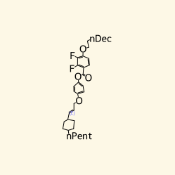 CCCCCCCCCCCCOc1ccc(C(=O)Oc2ccc(OC/C=C/C3CCC(CCCCC)CC3)cc2)c(F)c1F